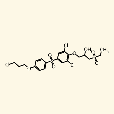 CCS(=O)(=O)CC(O)COc1c(Cl)cc(S(=O)(=O)c2ccc(OCCCCl)cc2)cc1Cl